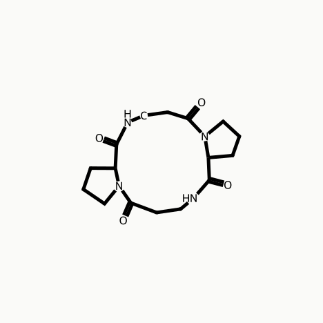 O=C1NCCC(=O)N2CCCC2C(=O)NCCC(=O)N2CCCC12